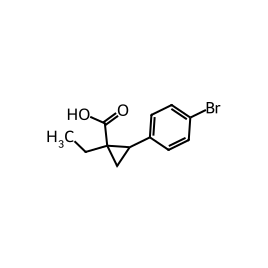 CCC1(C(=O)O)CC1c1ccc(Br)cc1